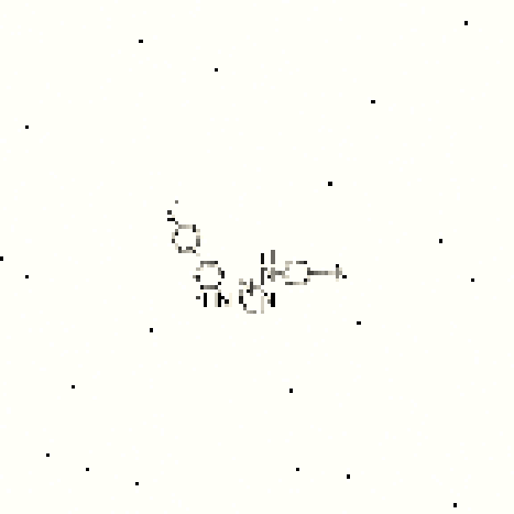 CSc1ccc(-c2cc(C)c(Nc3ccnc(Nc4ccc(C#N)cc4)n3)c(C)c2)cc1